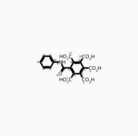 O=C(O)c1c(C(=O)O)c(C(=O)O)c(C(=O)Nc2ccccc2)c(C(=O)O)c1C(=O)O